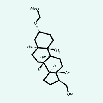 COCO[C@@H]1CC[C@@]2(C)[C@@H](CC[C@@H]3[C@@H]2CC[C@]2(C(C)=O)[C@@H](CO)CC[C@@H]32)C1